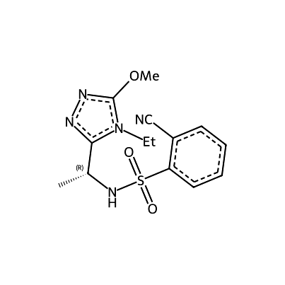 CCn1c(OC)nnc1[C@@H](C)NS(=O)(=O)c1ccccc1C#N